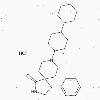 Cl.O=C1NCN(c2ccccc2)C12CCN(C1CCC(C3CCCCC3)CC1)CC2